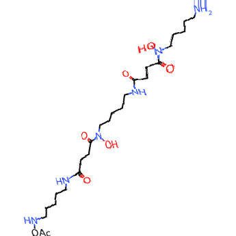 CC(=O)ONCCCCCNC(=O)CCC(=O)N(O)CCCCCNC(=O)CCC(=O)N(O)CCCCCN